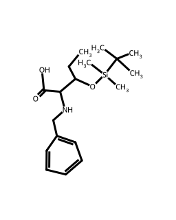 CCC(O[Si](C)(C)C(C)(C)C)C(NCc1ccccc1)C(=O)O